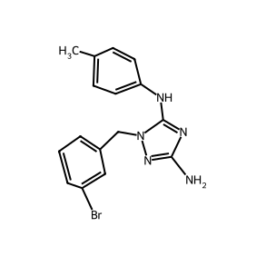 Cc1ccc(Nc2nc(N)nn2Cc2cccc(Br)c2)cc1